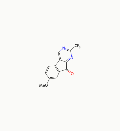 COc1ccc2c(c1)C(=O)c1nc(C(F)(F)F)ncc1-2